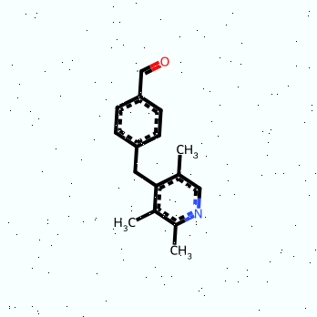 Cc1cnc(C)c(C)c1Cc1ccc([C]=O)cc1